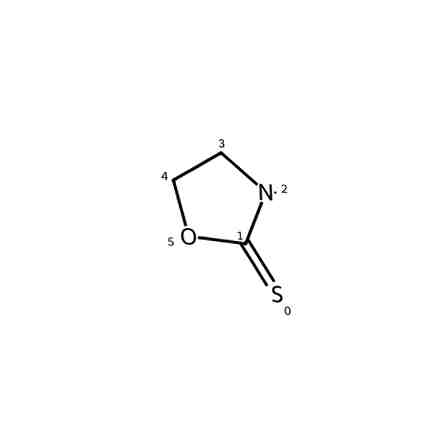 S=C1[N]CCO1